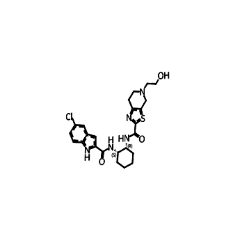 O=C(N[C@H]1CCCC[C@H]1NC(=O)c1nc2c(s1)CN(CCO)CC2)c1cc2cc(Cl)ccc2[nH]1